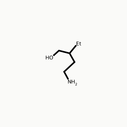 CCC(CO)CCN